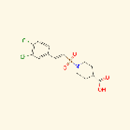 O=C(O)C1CCN(S(=O)(=O)/C=C/c2ccc(Cl)c(Cl)c2)CC1